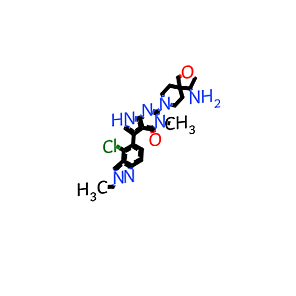 CCn1cc2c(Cl)c(-c3c[nH]c4nc(N5CCC6(CC5)COCC6N)n(C)c(=O)c34)ccc2n1